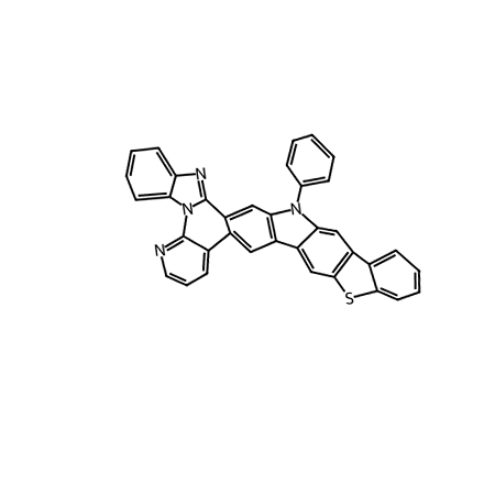 c1ccc(-n2c3cc4c(cc3c3cc5c6cccnc6n6c7ccccc7nc6c5cc32)sc2ccccc24)cc1